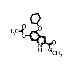 COC(=O)c1cc2c(OC3CCCCC3)cc(OC(C)=O)cc2[nH]1